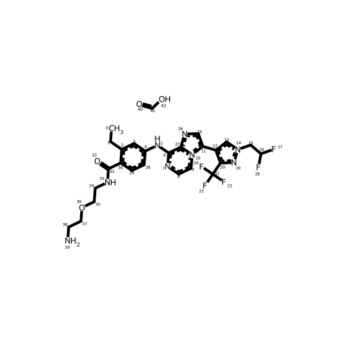 CCc1cc(Nc2nccn3c(-c4cn(CC(F)F)nc4C(F)(F)F)cnc23)ccc1C(=O)NCCOCCN.O=CO